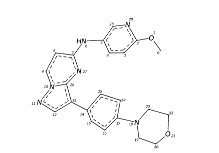 COc1ccc(Nc2ccn3ncc(-c4ccc(N5CCOCC5)cc4)c3n2)cn1